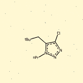 CCCn1nnc(Cl)c1CC(C)(C)C